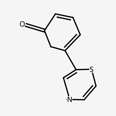 O=C1C=CC=C(C2=C[N]C=CS2)C1